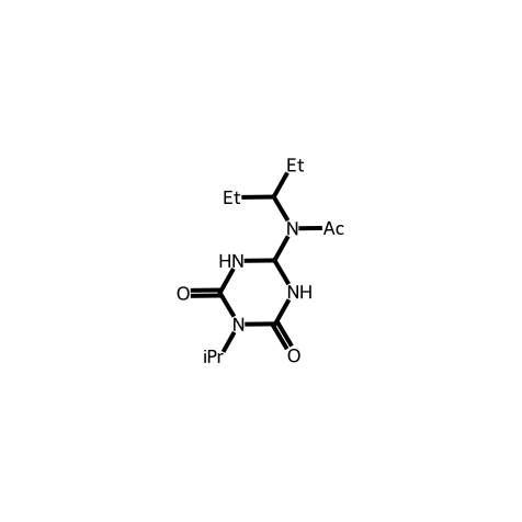 CCC(CC)N(C(C)=O)C1NC(=O)N(C(C)C)C(=O)N1